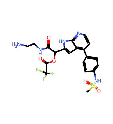 CS(=O)(=O)Nc1ccc(-c2ccnc3[nH]c(C(OC(=O)C(F)(F)F)C(=O)NCCN)cc23)cc1